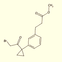 COC(=O)CCc1cccc(C2(C(=O)CBr)CC2)c1